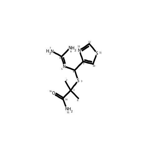 CC(C)(SC(N=C(N)N)c1cscn1)C(N)=O